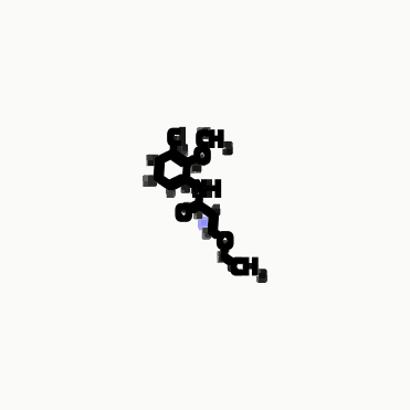 CCO/C=C/C(=O)Nc1cccc(Cl)c1OC